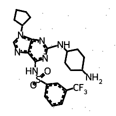 NC1CCC(Nc2nc(NS(=O)(=O)c3cccc(C(F)(F)F)c3)c3ncn(C4CCCC4)c3n2)CC1